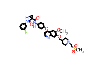 COc1cc2c(Oc3ccc(NC(=O)C4(C(=O)Nc5cccc(F)c5)CC4)cc3)ccnc2cc1OCC1CCN(CCS(C)(=O)=O)CC1